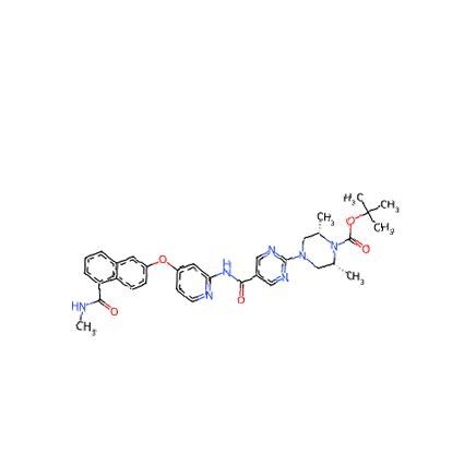 CNC(=O)c1cccc2cc(Oc3ccnc(NC(=O)c4cnc(N5C[C@@H](C)N(C(=O)OC(C)(C)C)[C@@H](C)C5)nc4)c3)ccc12